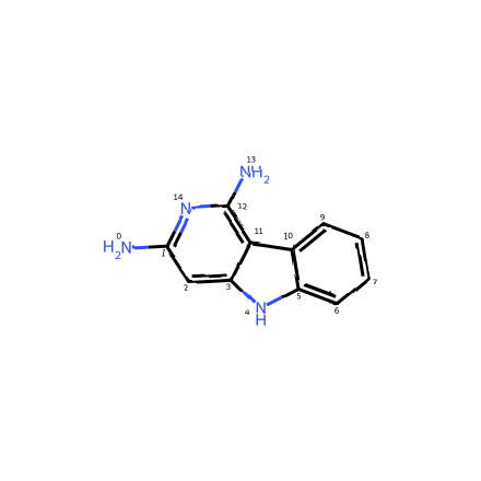 Nc1cc2[nH]c3ccccc3c2c(N)n1